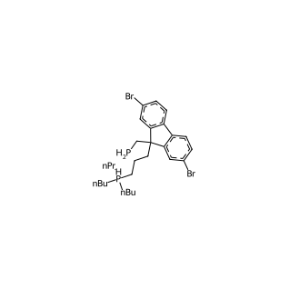 CCCC[PH](CCC)(CCCC)CCCC1(CP)c2cc(Br)ccc2-c2ccc(Br)cc21